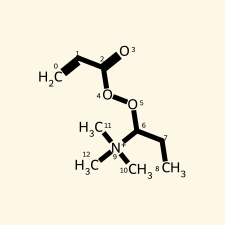 C=CC(=O)OOC(CC)[N+](C)(C)C